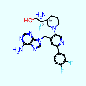 Nc1ncnc2c1ncn2Cc1cc(-c2ccc(F)c(F)c2)ncc1N1CCC[C@](N)([C@@H](F)CO)C1